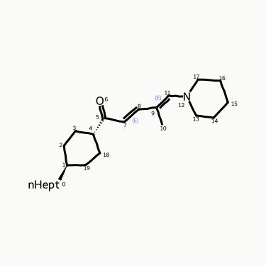 CCCCCCC[C@H]1CC[C@H](C(=O)/C=C/C(C)=C/N2CCCCC2)CC1